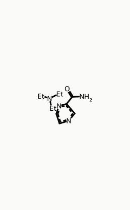 CCN(CC)CC.NC(=O)c1cnccn1